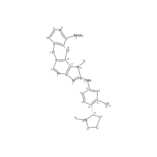 CC(=O)Nc1cc(Oc2cnc3nc(Nc4ccc([C@@H]5CCCN5C)c(C(F)(F)F)c4)n(C)c3c2Cl)ccn1